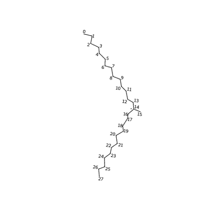 CCCCCCCCCCCCCC[C](C)CCCCCCCCCCCC